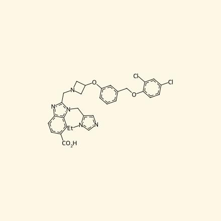 CCn1cncc1Cn1c(CN2CC(Oc3cccc(COc4ccc(Cl)cc4Cl)c3)C2)nc2ccc(C(=O)O)cc21